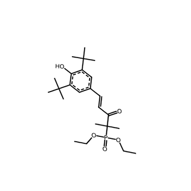 CCOP(=O)(OCC)C(C)(C)C(=O)C=Cc1cc(C(C)(C)C)c(O)c(C(C)(C)C)c1